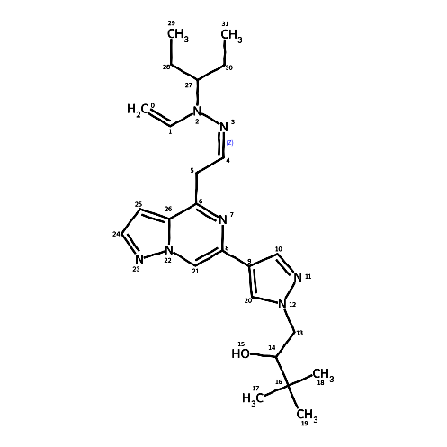 C=CN(/N=C\Cc1nc(-c2cnn(CC(O)C(C)(C)C)c2)cn2nccc12)C(CC)CC